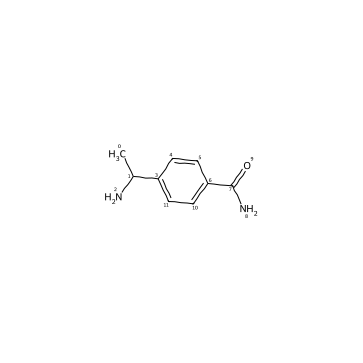 CC(N)c1ccc(C(N)=O)cc1